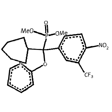 COP(=O)(OC)C(Oc1ccccn1)(c1ccc([N+](=O)[O-])c(C(F)(F)F)c1)C1CCCCC1